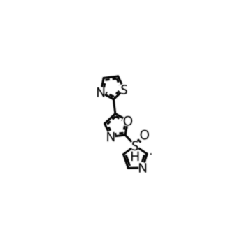 O=[SH]1(c2ncc(-c3nccs3)o2)[C]=NC=C1